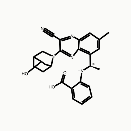 Cc1cc([C@@H](C)Nc2ccccc2C(=O)O)c2nc(N3CC4CCC3CC4O)c(C#N)nc2c1